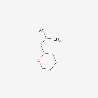 CC(=O)C(C)CC1CCCCO1